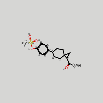 COC(=O)C1CC12CCC(c1ccc(OS(=O)(=O)C(F)(F)F)cc1)CC2